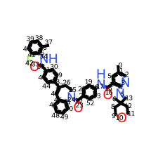 Cc1cnc(N2CC3(CCOCC3)C2)c(C(=O)Nc2ccc(C(=O)N3CCC(c4ccc(C(=O)Nc5c(C)cccc5F)cc4)=Cc4ccccc43)cc2)c1